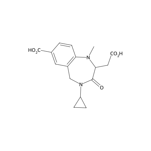 CN1c2ccc(C(=O)O)cc2CN(C2CC2)C(=O)C1CC(=O)O